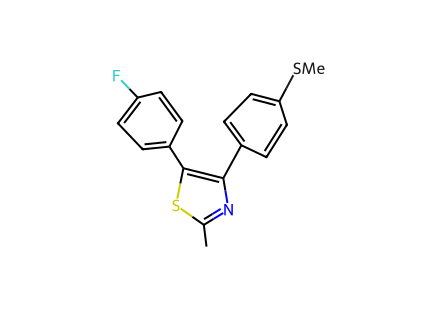 CSc1ccc(-c2nc(C)sc2-c2ccc(F)cc2)cc1